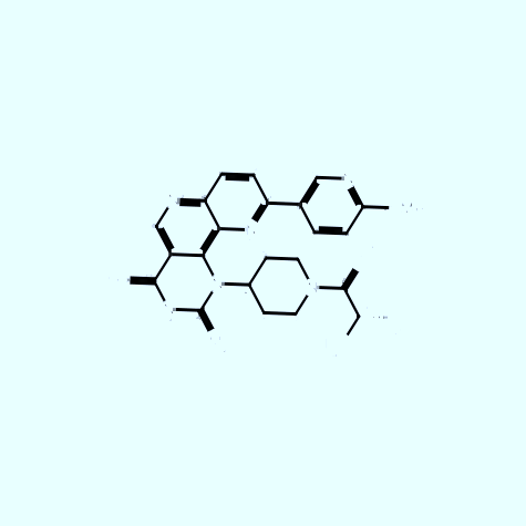 CSc1ccc(-c2ccc3ncc4c(=O)[nH]c(=O)n(C5CCN(C(=O)[C@H](C)O)CC5)c4c3n2)cn1